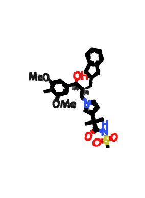 COc1cc([C@@H](O)[C@H](CC2Cc3ccccc3C2)Cn2ccc(C(C)(C)C(=O)NS(C)(=O)=O)c2)cc(OC)c1C